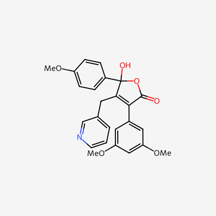 COc1ccc(C2(O)OC(=O)C(c3cc(OC)cc(OC)c3)=C2Cc2cccnc2)cc1